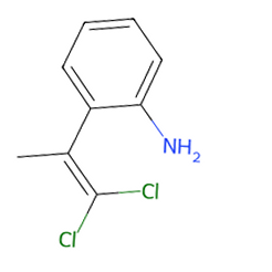 CC(=C(Cl)Cl)c1ccccc1N